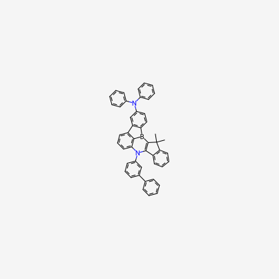 CC1(C)C2=C(c3ccccc31)N(c1cccc(-c3ccccc3)c1)c1cccc3c1B2c1ccc(N(c2ccccc2)c2ccccc2)cc1-3